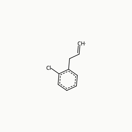 [CH]=CCc1ccccc1Cl